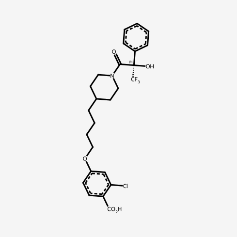 O=C(O)c1ccc(OCCCCC2CCN(C(=O)[C@](O)(c3ccccc3)C(F)(F)F)CC2)cc1Cl